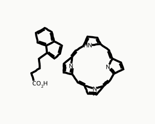 C1=Cc2cc3ccc(cc4nc(cc5ccc(cc1n2)[nH]5)C=C4)[nH]3.O=C(O)CCCc1cccc2ccccc12